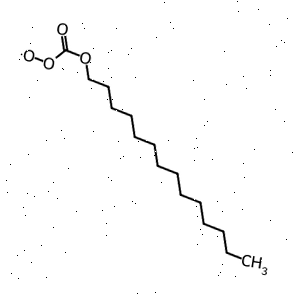 CCCCCCCCCCCCCCOC(=O)O[O]